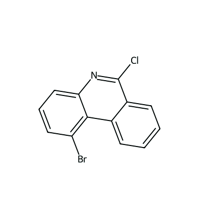 Clc1nc2cccc(Br)c2c2ccccc12